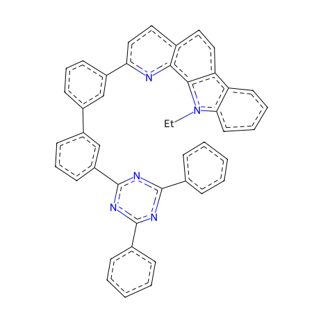 CCn1c2ccccc2c2ccc3ccc(-c4cccc(-c5cccc(-c6nc(-c7ccccc7)nc(-c7ccccc7)n6)c5)c4)nc3c21